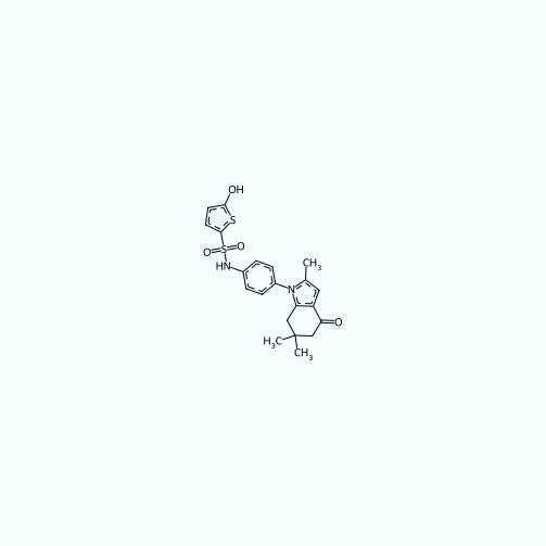 Cc1cc2c(n1-c1ccc(NS(=O)(=O)c3ccc(O)s3)cc1)CC(C)(C)CC2=O